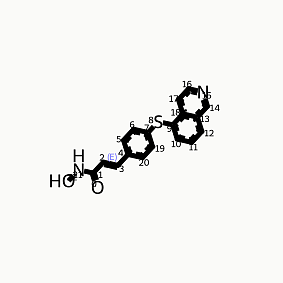 O=C(/C=C/c1ccc(Sc2cccc3cnccc23)cc1)NO